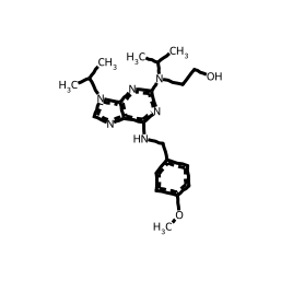 COc1ccc(CNc2nc(N(CCO)C(C)C)nc3c2ncn3C(C)C)cc1